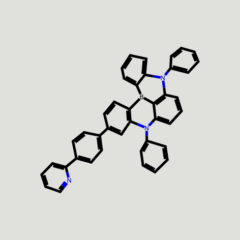 c1ccc(N2c3ccccc3B3c4ccc(-c5ccc(-c6ccccn6)cc5)cc4N(c4ccccc4)c4cccc2c43)cc1